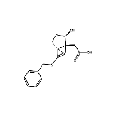 O=C(O)C[C@@]12C3=C(SCc4ccccc4)[C@]31CC[C@H]2O